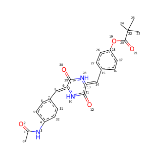 CC(=O)Nc1ccc(C=c2[nH]c(=O)c(=Cc3ccc(OC(=O)C(C)(C)C)cc3)[nH]c2=O)cc1